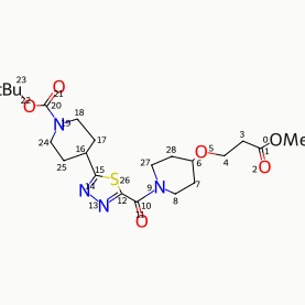 COC(=O)CCOC1CCN(C(=O)c2nnc(C3CCN(C(=O)OC(C)(C)C)CC3)s2)CC1